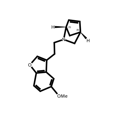 COc1ccc2occ(CCN3C[C@H]4C=C[C@@H]3C4)c2c1